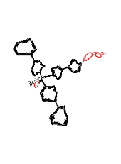 [O-2].[O-2].[V+4][O][Si](c1ccc(-c2ccccc2)cc1)(c1ccc(-c2ccccc2)cc1)c1ccc(-c2ccccc2)cc1